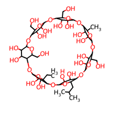 CCC1OC2OC3C(CO)OC(OC4C(CO)OC(OC5C(CO)OC(OC6C(C)OC(OC7C(CO)OC(OC8C(CC(C)C)OC(OC1C(O)C2O)C(O)C8O)C(O)C7O)C(O)C6O)C(O)C5O)C(O)C4O)C(O)C3O